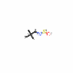 CC(C)(C)[CH]N=S=O